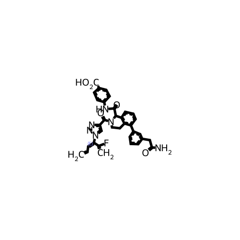 C=C/C=C(\C(=C)F)n1cc(C(=O)N2CCc3c(-c4cccc(CC(N)=O)c4)cccc3C2C(=O)Nc2ccc(C(=O)O)cc2)nn1